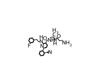 C[C@@H](CNC(=O)c1ccc(-c2ccccc2C#N)nc1NCCc1cccc(F)c1)NC(=O)CCN